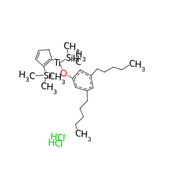 CCCCCc1cc(CCCCC)cc([O][Ti]([C]2=C([Si](C)(C)C)C=CC2)[SiH](C)C)c1.Cl.Cl